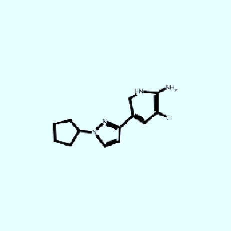 NC1=C(Cl)C=C(c2ccn(C3CCCC3)n2)CN1